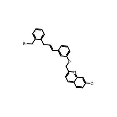 Clc1ccc2ccc(COc3cccc(C=CCc4ccccc4CBr)c3)nc2c1